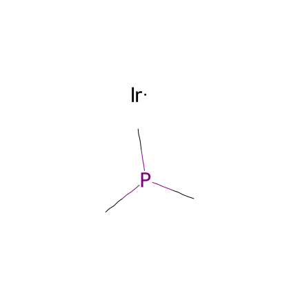 CP(C)C.[Ir]